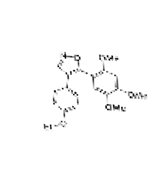 CCOc1ccc(-c2cnoc2-c2cc(OC)c(OC)cc2OC)cc1